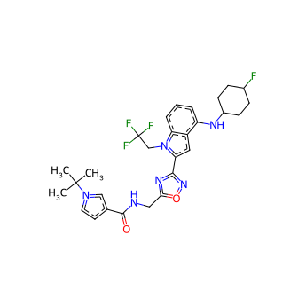 CC(C)(C)n1ccc(C(=O)NCc2nc(-c3cc4c(NC5CCC(F)CC5)cccc4n3CC(F)(F)F)no2)c1